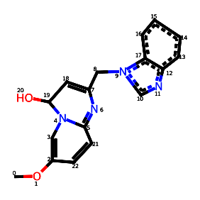 COC1=CN2C(=NC(Cn3cnc4ccccc43)=CC2O)C=C1